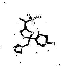 CC(C1COC(Cn2ccnc2)(c2ccc(Cl)cc2Cl)O1)S(=O)(=O)O